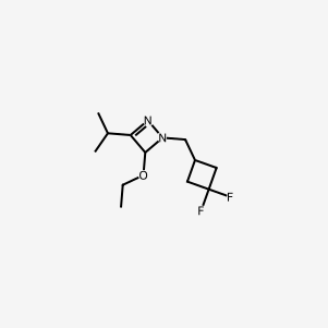 CCOC1C(C(C)C)=NN1CC1CC(F)(F)C1